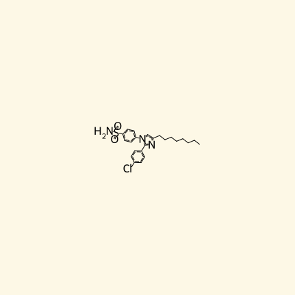 CCCCCCCCc1cn(-c2ccc(S(N)(=O)=O)cc2)c(-c2ccc(Cl)cc2)n1